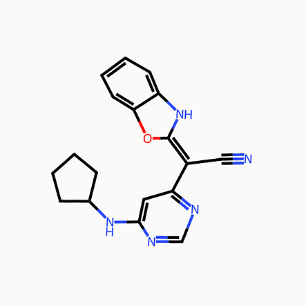 N#CC(=C1Nc2ccccc2O1)c1cc(NC2CCCC2)ncn1